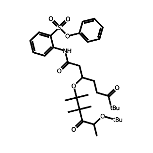 CC(OC(C)(C)C)C(=O)C(C)(C)C(C)(C)OC(CCC(=O)C(C)(C)C)CC(=O)Nc1ccccc1S(=O)(=O)Oc1ccccc1